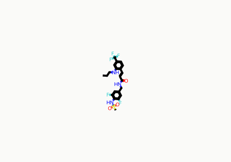 CCCNc1cc(C(F)(F)F)ccc1C=CC(=O)NCc1cc(F)c(NS(C)(=O)=O)c(F)c1